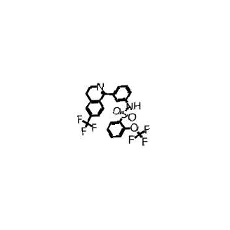 O=S(=O)(Nc1cccc(C2=NCCc3cc(C(F)(F)F)ccc32)c1)c1ccccc1OC(F)(F)F